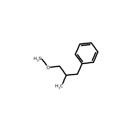 CC(CO[SiH3])Cc1ccccc1